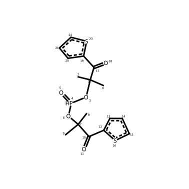 CC(C)(O[PH](=O)OC(C)(C)C(=O)c1cccs1)C(=O)c1cccs1